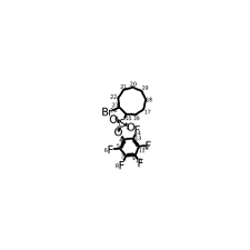 O=S(=O)(Oc1c(F)c(F)c(F)c(F)c1F)C1CCCCCCCC1Br